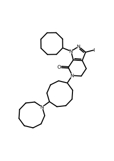 O=C1c2c(c(I)nn2C2CCCCCCC2)CCN1C1CCCCC(N2CCCCCCCC2)CCC1